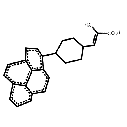 N#C/C(=C\C1CCC(c2ccc3ccc4cccc5ccc2c3c45)CC1)C(=O)O